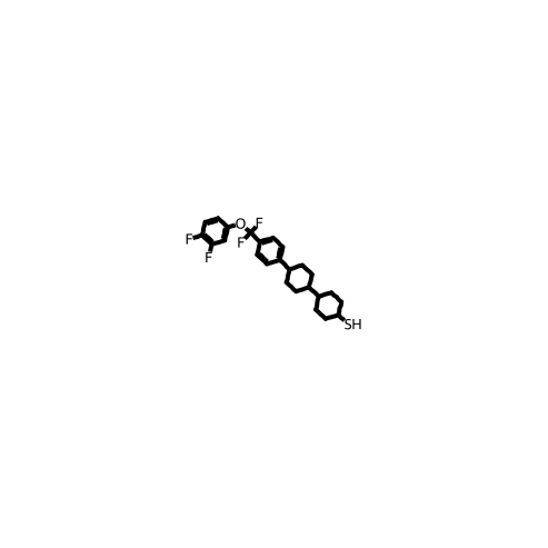 Fc1ccc(OC(F)(F)c2ccc(C3CCC(C4CCC(S)CC4)CC3)cc2)cc1F